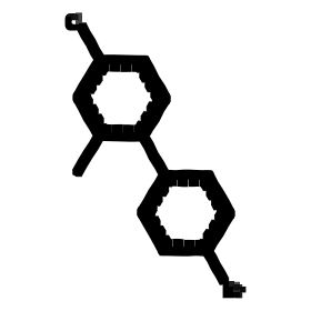 C[CH]c1ccc(-c2ccc(Cl)cc2C)cc1